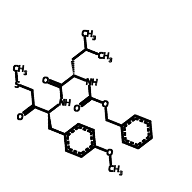 COc1ccc(C[C@H](NC(=O)[C@H](CC(C)C)NC(=O)OCc2ccccc2)C(=O)CSC)cc1